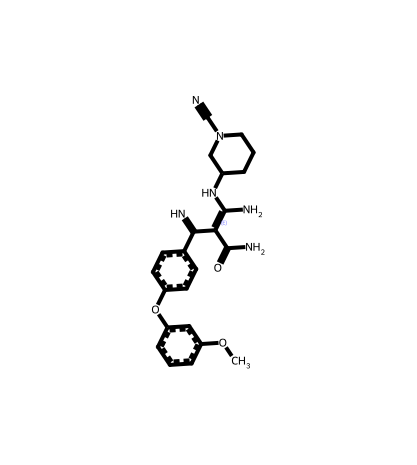 COc1cccc(Oc2ccc(C(=N)/C(C(N)=O)=C(/N)NC3CCCN(C#N)C3)cc2)c1